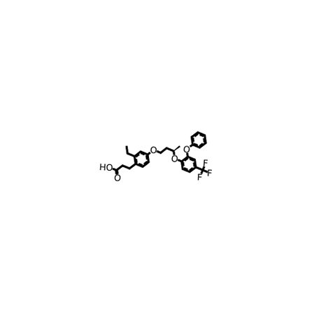 CCc1cc(OCC[C@@H](C)Oc2ccc(C(F)(F)F)cc2Oc2ccccc2)ccc1CCC(=O)O